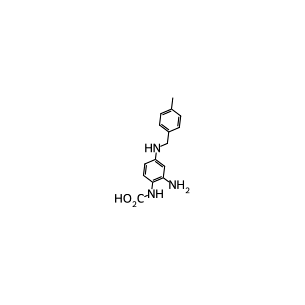 Cc1ccc(CNc2ccc(NC(=O)O)c(N)c2)cc1